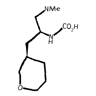 CNCC(C[C@H]1CCCOC1)NC(=O)O